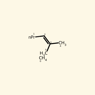 C.CCCC=C(C)C